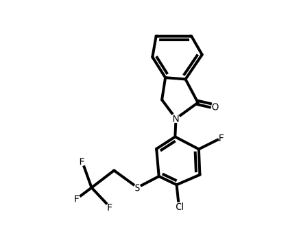 O=C1c2ccccc2CN1c1cc(SCC(F)(F)F)c(Cl)cc1F